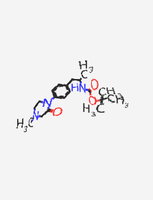 CC(Cc1ccc(N2CCN(C)CC2=O)cc1)NC(=O)OC(C)(C)C